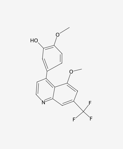 COc1ccc(-c2ccnc3cc(C(F)(F)F)cc(OC)c23)cc1O